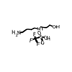 NCCCCNCCCO.O=S(=O)(O)C(F)(F)F